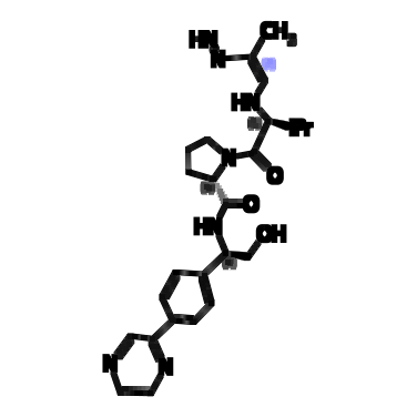 C/C(=C/N[C@H](C(=O)N1CCC[C@H]1C(=O)N[C@@H](CO)c1ccc(-c2cnccn2)cc1)C(C)C)N=N